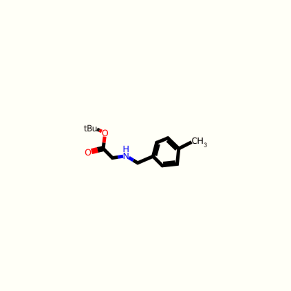 Cc1ccc(CNCC(=O)OC(C)(C)C)cc1